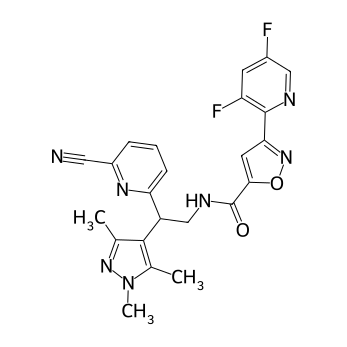 Cc1nn(C)c(C)c1C(CNC(=O)c1cc(-c2ncc(F)cc2F)no1)c1cccc(C#N)n1